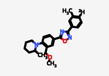 [2H]c1ccc(-c2noc(-c3ccc(N4CCCCC4C)c(COC)c3)n2)cc1C